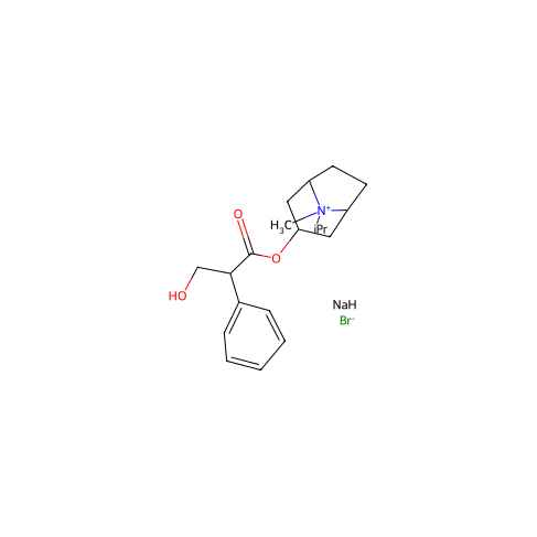 CC(C)[N+]1(C)C2CCC1CC(OC(=O)C(CO)c1ccccc1)C2.[Br-].[NaH]